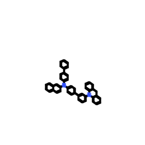 c1ccc(-c2ccc(N(c3ccc(-c4cccc(N5c6ccccc6Cc6ccccc65)c4)cc3)c3ccc4ccccc4c3)cc2)cc1